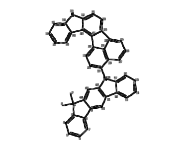 CC1(C)c2ccccc2-c2cc3c4ccccc4n(-c4ccc5c6c(cccc46)-c4ccc6sc7ccccc7c6c4-5)c3cc21